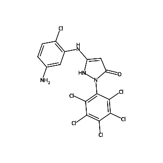 Nc1ccc(Cl)c(Nc2cc(=O)n(-c3c(Cl)c(Cl)c(Cl)c(Cl)c3Cl)[nH]2)c1